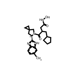 Cc1ccc2nc([C@H]3CC4(CC4)CN3C(=O)C(CC(=O)NO)CC3CCCC3)[nH]c2c1